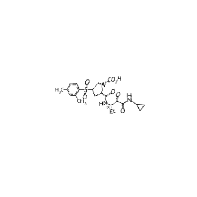 CC[C@H](NC(=O)C1CC(S(=O)(=O)c2ccc(C)cc2C)CN1C(=O)O)C(=O)C(=O)NC1CC1